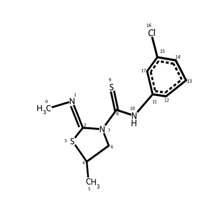 CN=C1SC(C)CN1C(=S)Nc1cccc(Cl)c1